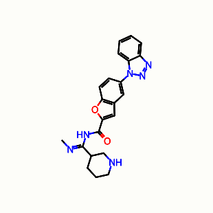 C/N=C(\NC(=O)c1cc2cc(-n3nnc4ccccc43)ccc2o1)C1CCCNC1